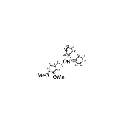 COc1ccc(CCON=C(c2ccccc2)c2cccnc2)cc1OC